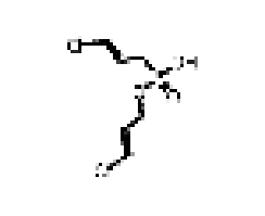 O=P(O)(CC=CCl)OCC=CCl